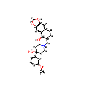 COc1cccc(C2(O)CCN(CC3CCc4cc5c(cc4C3=O)OCO5)CC2)c1